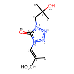 CC(=Cn1nnn(CC(C)(C)O)c1=O)C(=O)O